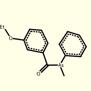 CCOc1cccc(C(=O)[As](C)c2[c]cccc2)c1